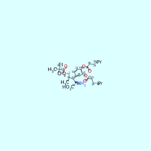 CCC(C)(C)C(=O)OCC(C)C(c1ccc(OC(=O)CCC(C)C)c(OC(=O)CCC(C)C)c1)[C@H](N)C(=O)O